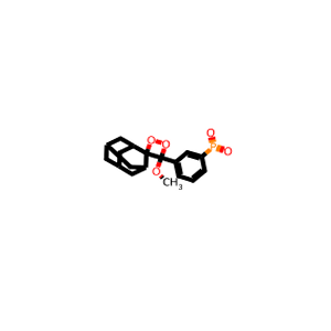 COC1(c2cccc(P(=O)=O)c2)OOC12C1CC3CC(C1)CC2C3